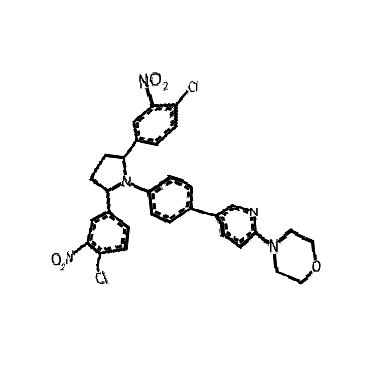 O=[N+]([O-])c1cc(C2CCC(c3ccc(Cl)c([N+](=O)[O-])c3)N2c2ccc(-c3ccc(N4CCOCC4)nc3)cc2)ccc1Cl